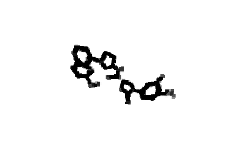 COc1ccc2nccc(N3CC[C@@H](NC(=O)[C@@H]4CN(c5ccc(C)c(F)c5)C(=O)O4)C3)c2n1